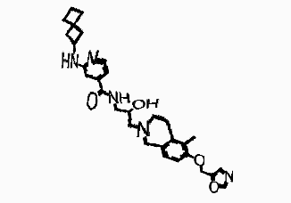 Cc1c(OCc2cnco2)ccc2c1CCN(CC(O)CNC(=O)c1ccnc(NC3CC4(CCC4)C3)c1)C2